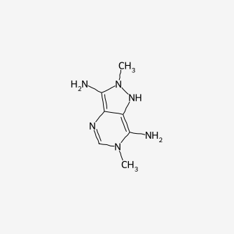 CN1C=NC2=C(N)N(C)NC2=C1N